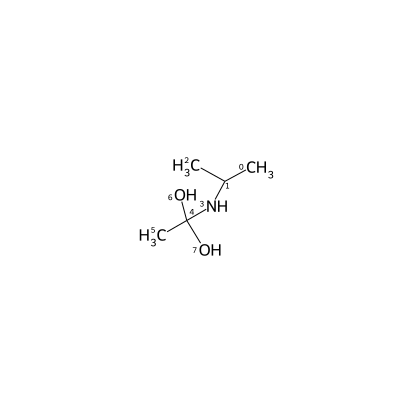 CC(C)NC(C)(O)O